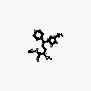 CN(CCC(c1ccccc1)n1cc(N)cn1)C(=O)OC(C)(C)C